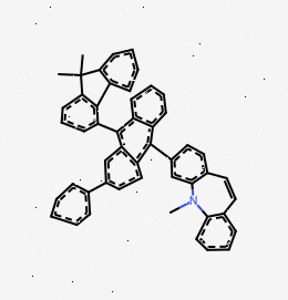 CN1c2ccccc2C=Cc2ccc(-c3c4ccccc4c(-c4cccc5c4-c4ccccc4C5(C)C)c4cc(-c5ccccc5)ccc34)cc21